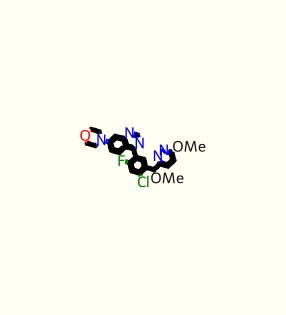 COc1ccc([C@@H](OC)c2cc(-c3ncnc4cc(N5CCOCC5)ccc34)c(F)cc2Cl)nn1